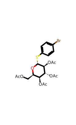 CC(=O)OC[C@H]1O[C@H](Sc2ccc(Br)cc2)[C@@H](OC(C)=O)[C@H](OC(C)=O)[C@H]1OC(C)=O